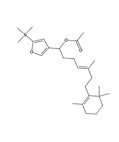 CC(=O)OC(CCC=C(C)CCC1=C(C)CCCC1(C)C)c1coc([Si](C)(C)C)c1